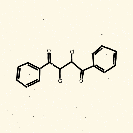 O=C(c1ccccc1)C(Cl)C(Cl)C(=O)c1ccccc1